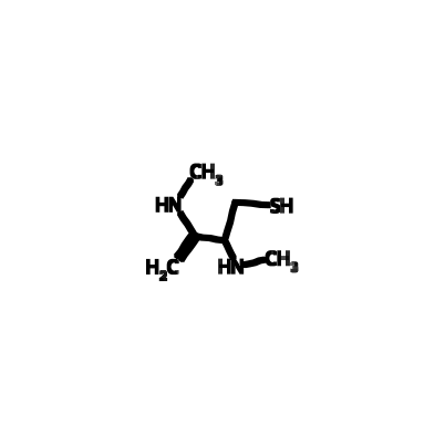 C=C(NC)C(CS)NC